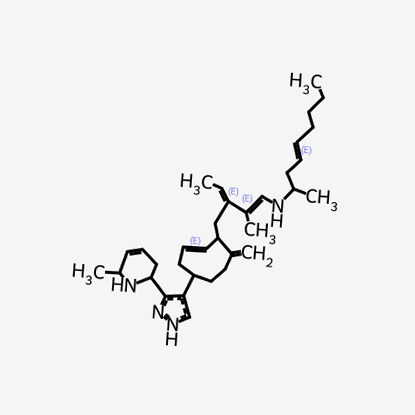 C=C1CCC(c2c[nH]nc2C2CC=CC(C)N2)C/C=C/C1CC(=C\C)/C(C)=C/NC(C)C/C=C/CCCC